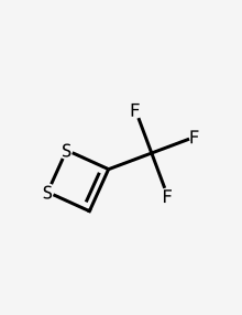 FC(F)(F)c1css1